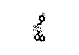 O=C(NS(=O)(=O)C=Cc1ccc(Br)cc1)C1NCCc2ccccc21